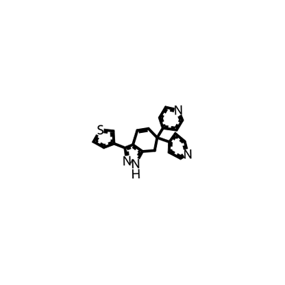 C1=CC(c2ccncc2)(c2ccncc2)Cc2[nH]nc(-c3ccsc3)c21